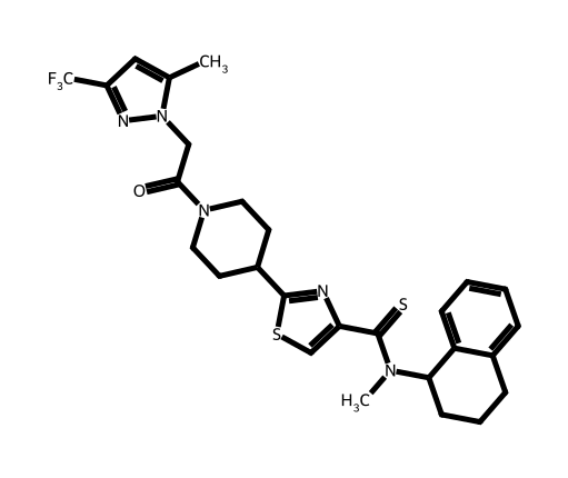 Cc1cc(C(F)(F)F)nn1CC(=O)N1CCC(c2nc(C(=S)N(C)C3CCCc4ccccc43)cs2)CC1